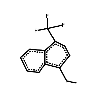 C[CH]c1ccc(C(F)(F)F)c2ccccc12